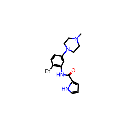 CCc1ccc(N2CCN(C)CC2)cc1NC(=O)c1ccc[nH]1